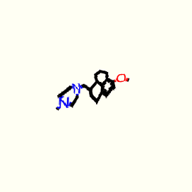 COc1ccc2c3c1CCCC3C(CN1CCN(C)CC1)CC2